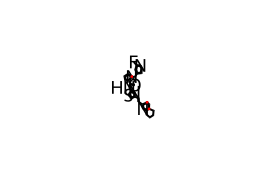 O=C(Nc1nc(C=Cc2ccc3c(n2)CCCC3)cs1)c1cccn1Cc1ccnc(F)c1